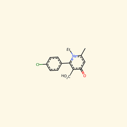 CCn1c(C)cc(=O)c(C(=O)O)c1-c1ccc(Cl)cc1